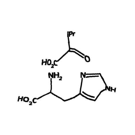 CC(C)C(=O)C(=O)O.NC(Cc1c[nH]cn1)C(=O)O